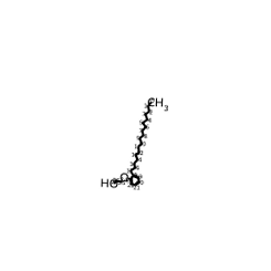 CCCCCCCCCCCCCCCCCCc1ccccc1OCCO